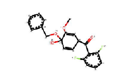 COC1=CC(C(=O)c2c(F)cccc2F)C=CC1(O)OCc1ccccc1